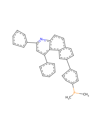 CP(C)c1ccc(-c2ccc3ccc4nc(-c5ccccc5)cc(-c5ccccc5)c4c3c2)cc1